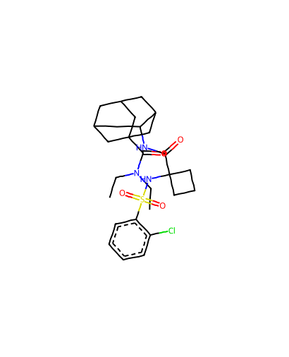 CCN(CC)C(=O)C12CC3CC(C1)C(NC(=O)C1(NS(=O)(=O)c4ccccc4Cl)CCC1)C(C3)C2